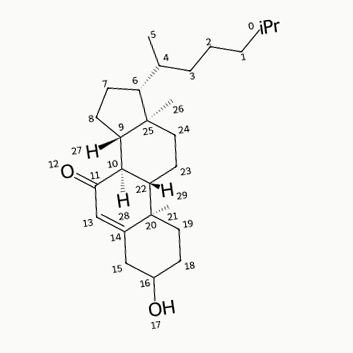 CC(C)CCCC(C)[C@H]1CC[C@H]2[C@@H]3C(=O)C=C4CC(O)CC[C@]4(C)[C@H]3CC[C@]12C